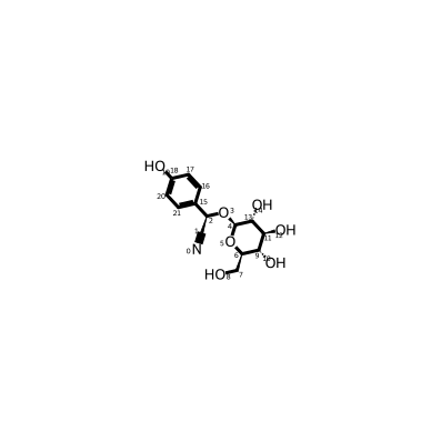 N#C[C@H](O[C@@H]1O[C@H](CO)[C@@H](O)[C@H](O)[C@H]1O)c1ccc(O)cc1